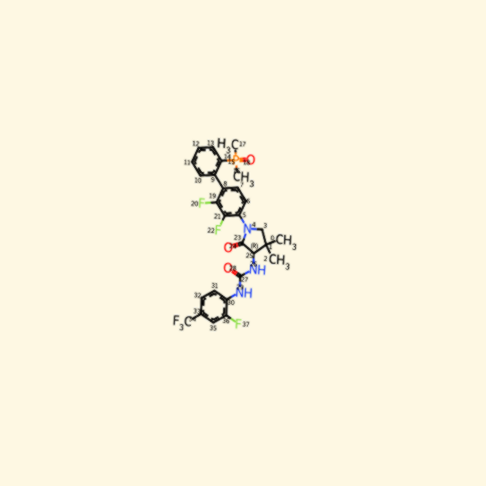 CC1(C)CN(c2ccc(-c3ccccc3P(C)(C)=O)c(F)c2F)C(=O)[C@@H]1NC(=O)Nc1ccc(C(F)(F)F)cc1F